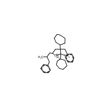 CC(Cc1ccccc1)CC(O)CC(Cc1ccccc1)(C1CCCCCC1)C(N)(N)C1CCCCCC1